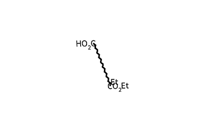 CCOC(=O)C(CC)CCCCCCCCCCCCCCCCC(=O)O